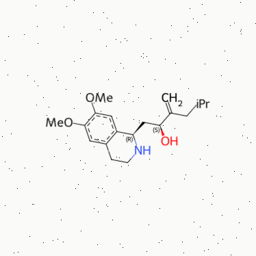 C=C(CC(C)C)[C@@H](O)C[C@H]1NCCc2cc(OC)c(OC)cc21